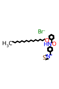 CCCCCCCCCCCCCCCCOc1ccccc1C(=O)Nc1ccc(C[n+]2ccsc2)cc1.[Br-]